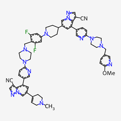 COc1ccc(CN2CCN(c3ccc(-c4cc(C5CCN(c6cc(F)c(CN7CCN(c8ccc(-c9cc(C%10=CCN(C)CC%10)cn%10ncc(C#N)c9%10)cn8)CC7)c(F)c6)CC5)cn5ncc(C#N)c45)cn3)CC2)cn1